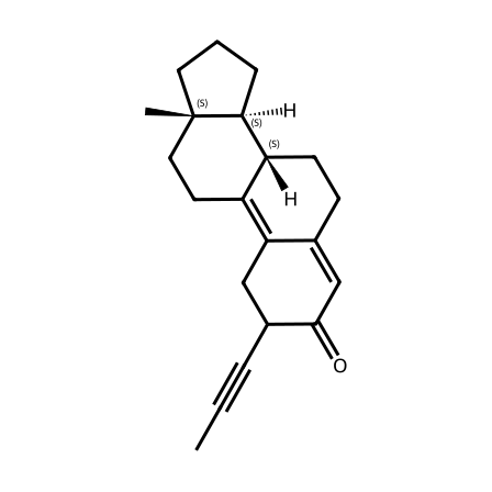 CC#CC1CC2=C3CC[C@]4(C)CCC[C@H]4[C@@H]3CCC2=CC1=O